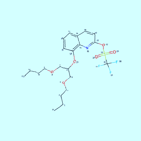 CCCCOCC(COCCCC)Oc1cccc2ccc(OS(=O)(=O)C(F)(F)F)nc12